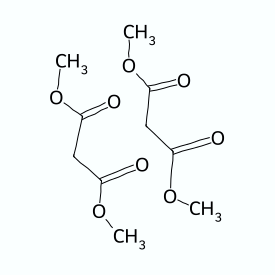 COC(=O)CC(=O)OC.COC(=O)CC(=O)OC